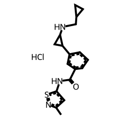 Cc1cc(NC(=O)c2cccc(C3CC3NCC3CC3)c2)sn1.Cl